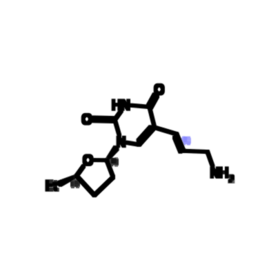 CC[C@@H]1CC[C@H](n2cc(/C=C/CN)c(=O)[nH]c2=O)O1